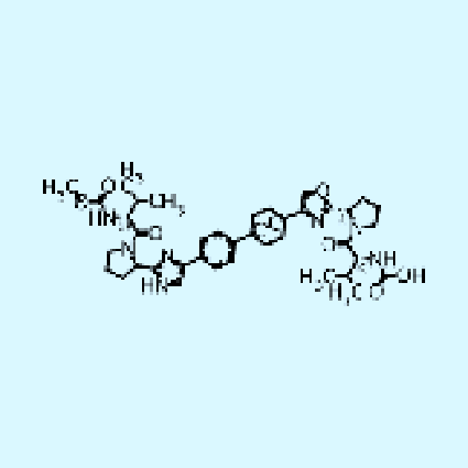 COC(=O)N[C@H](C(=O)N1CCCC1c1nc(-c2ccc(C34CCC(c5coc([C@@H]6CCCN6C(=O)[C@@H](NC(=O)O)C(C)C)n5)(CC3)CC4)cc2)c[nH]1)C(C)C